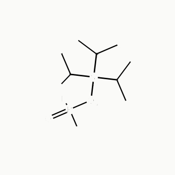 CC(C)[Si](OP(=O)(F)F)(C(C)C)C(C)C